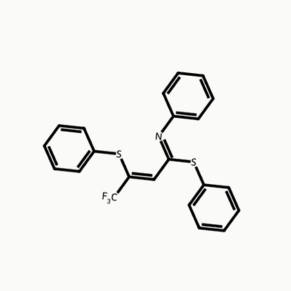 FC(F)(F)/C(=C/C(=N/c1ccccc1)Sc1ccccc1)Sc1ccccc1